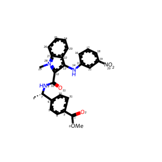 COC(=O)c1ccc([C@H](C)NC(=O)c2c(Nc3cccc([N+](=O)[O-])c3)c3ccccc3n2C)cc1